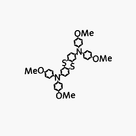 COc1ccc(N(c2ccc(OC)cc2)c2ccc3c(c2)Sc2ccc(N(c4ccc(OC)cc4)c4ccc(OC)cc4)cc2S3)cc1